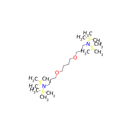 CS(C)(C)N(CCCOCCCCOCCCN(S(C)(C)C)S(C)(C)C)S(C)(C)C